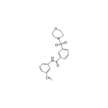 Cc1cccc(NC(=O)c2cccc(S(=O)(=O)N3CCOCC3)c2)c1